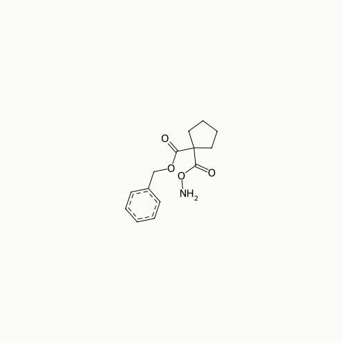 NOC(=O)C1(C(=O)OCc2ccccc2)CCCC1